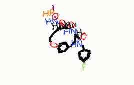 CCCC[C@H]1C(=O)N[C@H](C(=O)NCc2ccc(F)cc2)Cc2ccc(cc2)OCCC[C@@H]1C(=O)NOPI